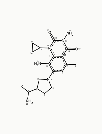 Cc1cc(N2CCC(C(C)N)C2)c(N)c2c1c(=O)n(N)c(=O)n2C1CC1